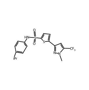 CC(C)c1ccc(NS(=O)(=O)c2ccc(-c3cc(C(F)(F)F)n(C)n3)s2)cc1